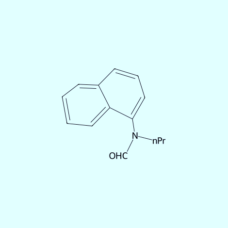 CCCN(C=O)c1cccc2ccccc12